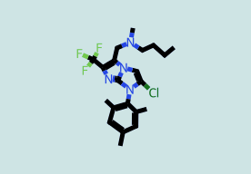 CCCCN(C)Cc1c(C(F)(F)F)nc2n(-c3c(C)cc(C)cc3C)c(Cl)cn12